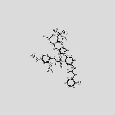 COc1ccc(CNS(=O)(=O)c2cc(NC(=O)Cc3ccccc3Cl)ccc2-n2cc(CN(CC(F)F)C(=O)OC(C)(C)C)cn2)c(OC)c1